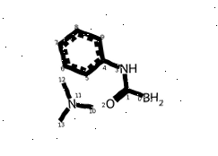 BC(=O)Nc1ccccc1.CN(C)C